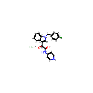 Cl.O=C(Nc1ccncc1)C(=O)c1cn(Cc2ccc(F)cc2)c2ccccc12